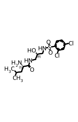 CC(C)C[C@H](N)C(=O)NC[C@@H](O)CNS(=O)(=O)c1ccc(Cl)cc1Cl